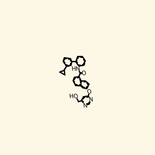 O=C(Nc1ccccc1-c1cccc(C2CC2)c1)c1cccc2cc(Oc3cc(CO)ncn3)ccc12